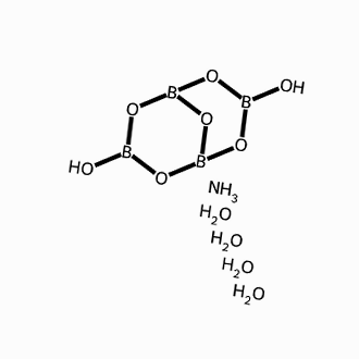 N.O.O.O.O.OB1OB2OB(O)OB(O1)O2